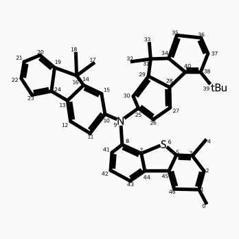 Cc1cc(C)c2sc3c(N(c4ccc5c(c4)C(C)(C)c4ccccc4-5)c4ccc5c(c4)C(C)(C)c4cccc(C(C)(C)C)c4-5)cccc3c2c1